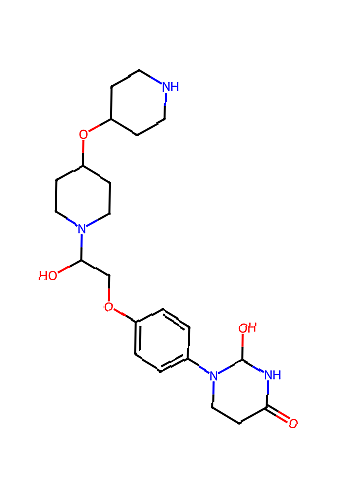 O=C1CCN(c2ccc(OCC(O)N3CCC(OC4CCNCC4)CC3)cc2)C(O)N1